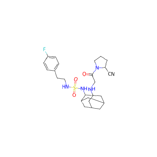 N#CC1CCCN1C(=O)CNC12CC3CC(CC(C3)C1NS(=O)(=O)NCCc1ccc(F)cc1)C2